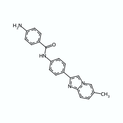 Cc1ccc2nc(-c3ccc(NC(=O)c4ccc(N)cc4)cc3)cn2c1